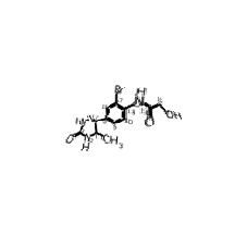 CC1NC(=O)NN=C1c1ccc(NC(=O)CO)c(Br)c1